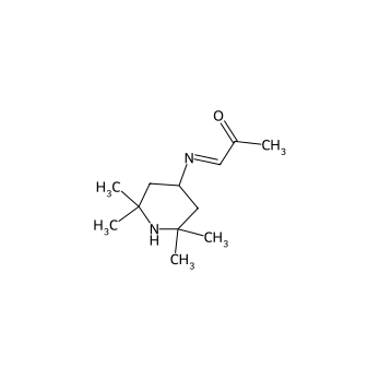 CC(=O)C=NC1CC(C)(C)NC(C)(C)C1